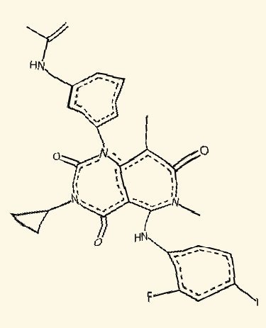 C=C(C)Nc1cccc(-n2c(=O)n(C3CC3)c(=O)c3c(Nc4ccc(I)cc4F)n(C)c(=O)c(C)c32)c1